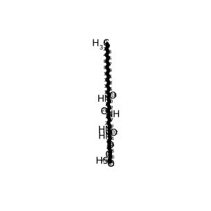 CCCCCCCCCCCCCCCCCC(=O)NCCCC(=O)NCCCCNC(=O)NCCOCCOCC(=O)S